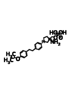 CC(C)Oc1ccc(CCc2ccc([C@@H]3CC[C@](N)(COP(=O)(O)O)C3)cc2)cc1